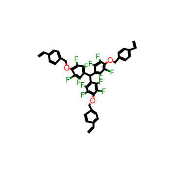 C=Cc1ccc(COc2c(F)c(F)c(C(c3c(F)c(F)c(OCc4ccc(C=C)cc4)c(F)c3F)c3c(F)c(F)c(OCc4ccc(C=C)cc4)c(F)c3F)c(F)c2F)cc1